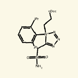 CCCCCCCCCCCC[N+]1(c2c(C(C)C)cccc2C(C)C)N=NN=C1CS(N)(=O)=O